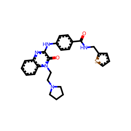 O=C(NCc1cccs1)c1ccc(Nc2nc3ccccc3n(CCN3CCCC3)c2=O)cc1